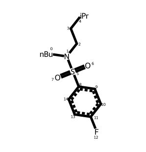 CCCCN(CCC(C)C)S(=O)(=O)c1ccc(F)cc1